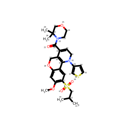 COc1cc2c(cc1S(=O)(=O)CC(C)C)C1=C(CO2)C(C(=O)N2CCOCC2(C)C)=CCN1c1ccsc1